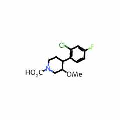 COC1CN(C(=O)O)CCC1c1ccc(F)cc1Cl